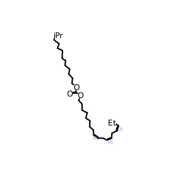 CC/C=C\C/C=C\C/C=C\CCCCCCCCOC(=O)OCCCCCCCCCCCC(C)C